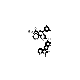 CC(C)(C)OC(=O)N1CC(c2cc(F)cc(F)c2)N(CC(=O)Nc2cnc3c(c2)CC2(C3)C(=O)Nc3ncccc32)C(=O)C12COCCOC2